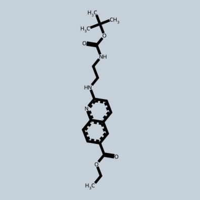 CCOC(=O)c1ccc2nc(NCCNC(=O)OC(C)(C)C)ccc2c1